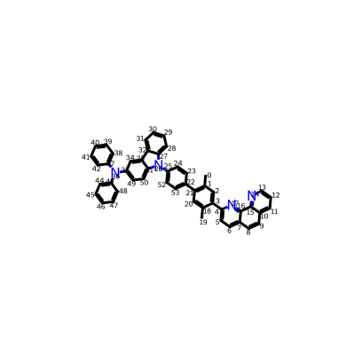 Cc1cc(-c2ccc3ccc4cccnc4c3n2)c(C)cc1-c1ccc(-n2c3ccccc3c3cc(N(c4ccccc4)c4ccccc4)ccc32)cc1